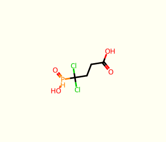 O=C(O)CCC(Cl)(Cl)[PH](=O)O